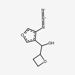 [N-]=[N+]=Nc1cocc1C(O)C1CCO1